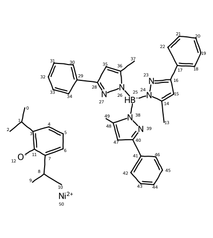 CC(C)c1cccc(C(C)C)c1[O-].Cc1cc(-c2ccccc2)nn1[BH-](n1nc(-c2ccccc2)cc1C)n1nc(-c2ccccc2)cc1C.[Ni+2]